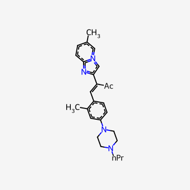 CCCN1CCN(c2ccc(/C=C(\C(C)=O)c3cn4cc(C)ccc4n3)c(C)c2)CC1